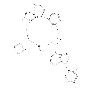 Cn1nc2cccc3c2c1CCCN(Cc1cscn1)C(=O)[C@@H]1C[C@@H](CN1c1ncnc2c1cnn2-c1ccc(F)cc1F)Oc1cccc-3c1